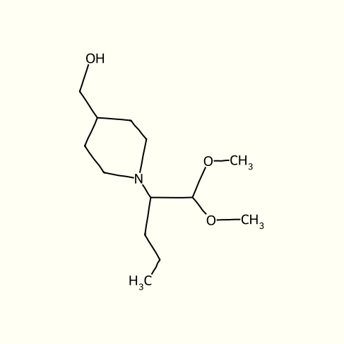 CCCC(C(OC)OC)N1CCC(CO)CC1